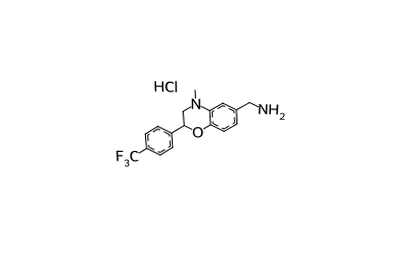 CN1CC(c2ccc(C(F)(F)F)cc2)Oc2ccc(CN)cc21.Cl